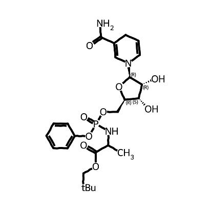 CC(NP(=O)(OC[C@H]1O[C@@H](N2C=CCC(C(N)=O)=C2)[C@H](O)[C@@H]1O)Oc1ccccc1)C(=O)OCC(C)(C)C